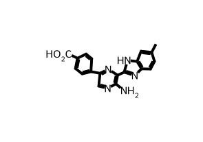 Cc1ccc2nc(-c3nc(-c4ccc(C(=O)O)cc4)cnc3N)[nH]c2c1